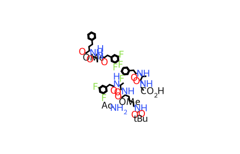 CC(N)=O.CC(NC(=O)Cc1cc(F)cc(F)c1)C(=O)NCC(=O)O.COC(=O)C(CCCCNC(=O)OC(C)(C)C)NC(=O)C(C)NC(=O)Cc1cc(F)cc(F)c1.COC(=O)C(CCc1ccccc1)NC(=O)C(C)NC(=O)Cc1cc(F)cc(F)c1